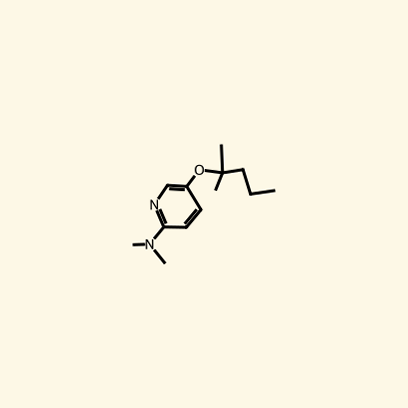 CCCC(C)(C)Oc1ccc(N(C)C)nc1